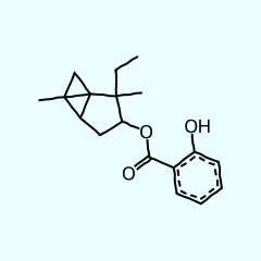 CCC1(C)C(OC(=O)c2ccccc2O)CC2C3(C)CC213